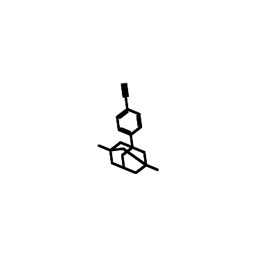 C#Cc1ccc(C23CC4CC(C)(CC(C)(C4)C2)C3)cc1